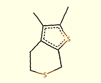 Cc1sc2c(c1C)CCSC2